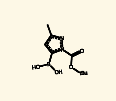 Cc1cc(B(O)O)n(C(=O)OC(C)(C)C)n1